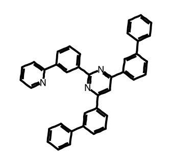 c1ccc(-c2cccc(-c3cc(-c4cccc(-c5ccccc5)c4)nc(-c4cccc(-c5ccccn5)c4)n3)c2)cc1